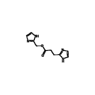 O=C(CCc1ncc[nH]1)OCc1ncc[nH]1